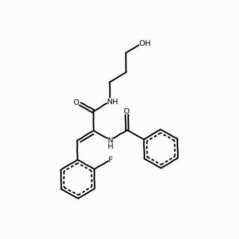 O=C(NCCCO)C(=Cc1ccccc1F)NC(=O)c1ccccc1